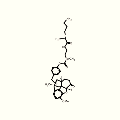 COc1ccc2c3c1O[C@H]1C(=O)CC[C@H]4C(C2)[N@@+](C)(Cc2ccc(OC(=O)N(C)CCNC(=O)[C@@H](N)CCCCN)cc2)CC[C@]314